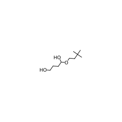 CC(C)(C)CCOC(O)CCCO